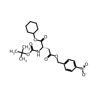 CC(C)(C)OC(=O)N[C@@H](CC(=O)OCc1ccc([N+](=O)[O-])cc1)C(=O)OC1CCCCC1